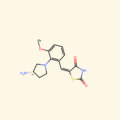 CC(C)Oc1cccc(C=C2SC(=O)NC2=O)c1N1CC[C@H](N)C1